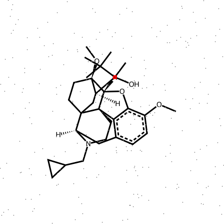 COc1ccc2c3c1O[C@H]1[C@@]4(OC)CCC5(C[C@@H]4C(C)(O)C(C)(C)C)[C@@H](C2)N(CC2CC2)CC[C@]315